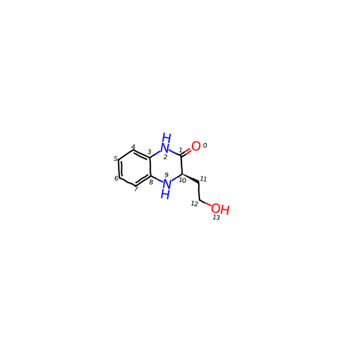 O=C1Nc2ccccc2N[C@@H]1CCO